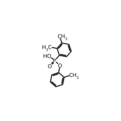 Cc1ccccc1OP(=O)(O)c1cccc(C)c1C